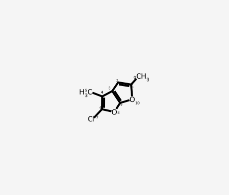 Cc1cc2c(C)c(Cl)oc2o1